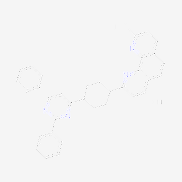 Cc1ccc2ccc3c(C)cc(C4CCC(c5cc(-c6ccccc6)nc(-c6ccccc6)n5)CC4)nc3c2n1